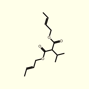 C/C=C/COC(=O)C(C(=O)OC/C=C/C)C(C)C